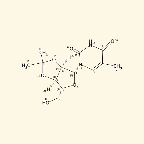 Cc1cn([C@@H]2O[C@H](CO)[C@H]3OC(C)(C)O[C@H]32)c(=O)[nH]c1=O